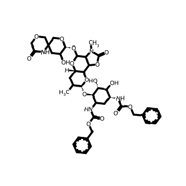 CC1C[C@@H]2OC(O[C@H]3OCC4(COCC(=O)N4)CC3O)C3C(OC(=O)N3C)C2O[C@@H]1O[C@@H]1C(NC(=O)OCc2ccccc2)C[C@@H](NC(=O)OCc2ccccc2)C(O)[C@H]1O